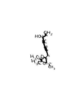 C=C[C@H](O)C#CC#CC[C@@H]1OC(C)(C)O[C@H]1CC